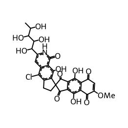 COC1=CC(=O)c2c(O)c3c(c(O)c2C1=O)C(=O)C1(CCc2c1c(O)c1c(=O)[nH]c(C(O)C(O)C(O)C(C)O)cc1c2Cl)C3=O